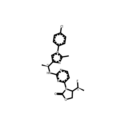 Cc1nc([C@H](C)Nc2nccc(N3C(=O)OCC3[C@H](C)F)n2)cn1-c1ccc(Cl)cc1